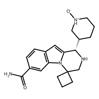 NC(=O)c1ccc2cc3n(c2c1)C1(CCC1)CN[C@H]3C1CCC[NH+]([O-])C1